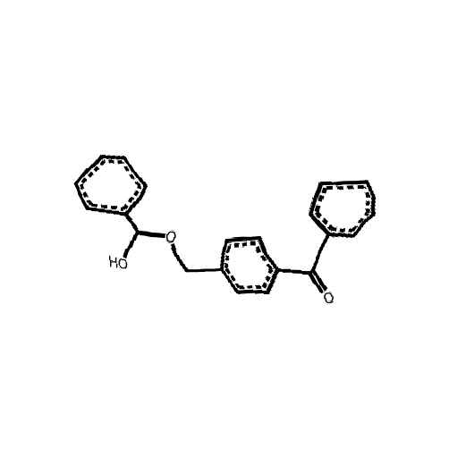 O=C(c1ccccc1)c1ccc(COC(O)c2ccccc2)cc1